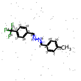 Cc1ccc(/C=N/N=C/c2ccc(C(F)(F)F)cc2)cc1